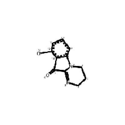 O=C1C2=NCCCN2c2cccc(Cl)c21